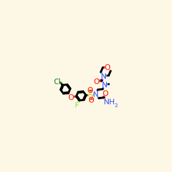 CN(CCN(CC(N)=O)S(=O)(=O)c1ccc(Oc2ccc(Cl)cc2)c(F)c1)C(=O)N1CCOCC1